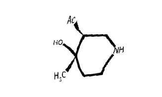 CC(=O)[C@H]1CNCC[C@]1(C)O